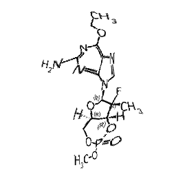 CCOc1nc(N)nc2c1ncn2[C@@H]1O[C@@H]2COP(=O)(OC)O[C@H]2[C@@]1(C)F